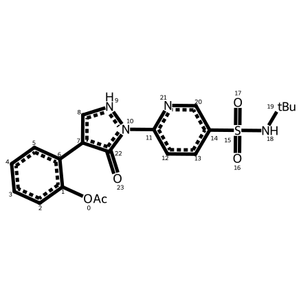 CC(=O)Oc1ccccc1-c1c[nH]n(-c2ccc(S(=O)(=O)NC(C)(C)C)cn2)c1=O